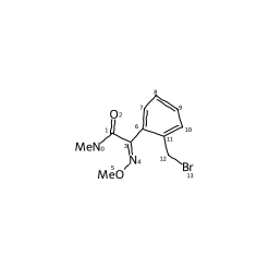 CNC(=O)/C(=N\OC)c1ccccc1CBr